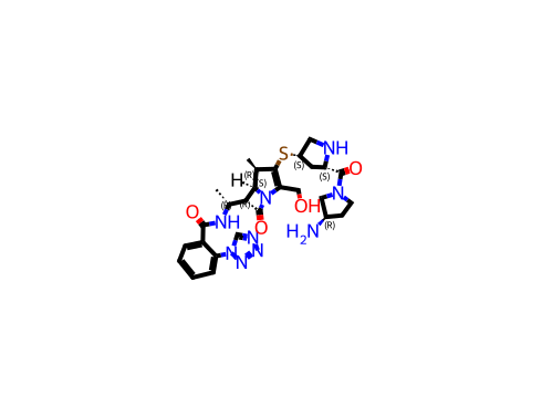 C[C@@H](NC(=O)c1ccccc1-n1cnnn1)[C@H]1C(=O)N2C(CO)=C(S[C@@H]3CN[C@H](C(=O)N4CC[C@@H](N)C4)C3)[C@H](C)[C@H]12